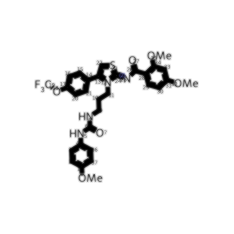 COc1ccc(NC(=O)NCCCn2c(-c3ccc(OC(F)(F)F)cc3)cs/c2=N\C(=O)c2ccc(OC)cc2OC)cc1